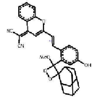 COC1(c2cc(O)ccc2/C=C/C2=CC(=C(C#N)C#N)c3ccccc3O2)OOC12C1CC3CC(C1)CC2C3